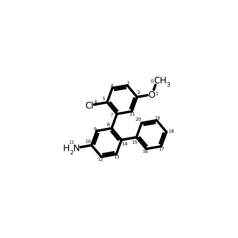 COc1ccc(Cl)c(-c2cc(N)ccc2-c2ccccc2)c1